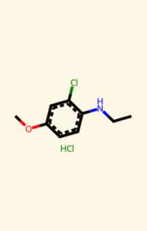 CCNc1ccc(OC)cc1Cl.Cl